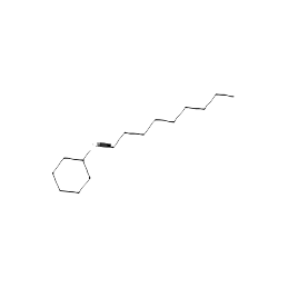 CCCCCCCCC=NC1CCCCC1